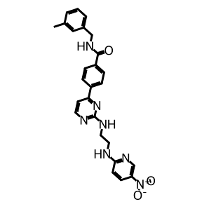 Cc1cccc(CNC(=O)c2ccc(-c3ccnc(NCCNc4ccc([N+](=O)[O-])cn4)n3)cc2)c1